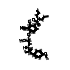 CCCN(CCC)S(=O)(=O)c1ccc(OC[C@H](O)CNC(C)(C)Cc2ccc(OC)cc2)c(C#N)c1Cl